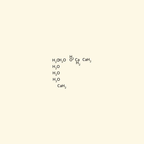 O.O.O.O.O.O.[CaH2].[CaH2].[CaH2]